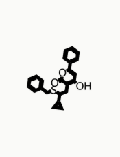 O=c1oc(-c2ccccc2)cc(O)c1CC(SCc1ccccc1)C1CC1